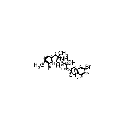 Cc1ccc(CC(C)(C)NC[C@@H](O)CN(C)Cc2cccc(Br)c2)cc1F